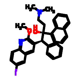 COc1nc2ccc(I)cc2cc1[C@@H](c1ccccc1)[C@@](O)(CCN(C)C)c1cccc2ccccc12